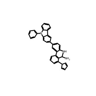 NC1Nc2ccc(-c3ccc4c(c3)c3ccccc3n4-c3ccccc3)cc2-c2cccc(C3C=CC=C3)c21